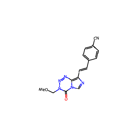 COCn1nnc2c(/C=C/c3ccc(C#N)cc3)ncn2c1=O